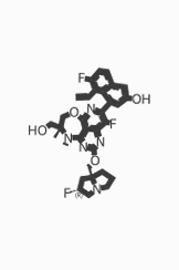 C=Cc1c(F)ccc2cc(O)cc(-c3nc4c5c(nc(OC[C@@]67CCCN6C[C@H](F)C7)nc5c3F)N(C)[C@](C)(CO)CO4)c12